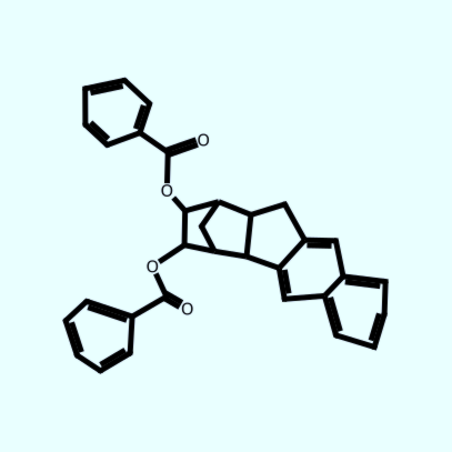 O=C(OC1C2CC(C1OC(=O)c1ccccc1)C1c3cc4ccccc4cc3CC21)c1ccccc1